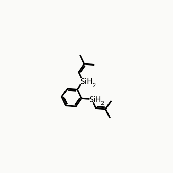 CC(C)=C[SiH2]c1ccccc1[SiH2]C=C(C)C